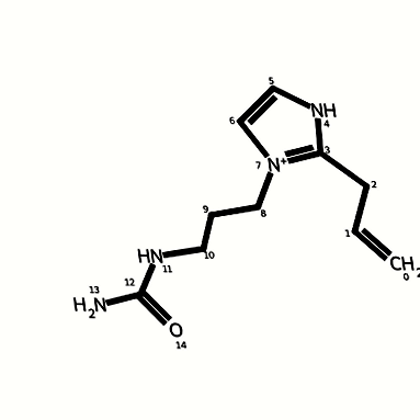 C=CCc1[nH]cc[n+]1CCCNC(N)=O